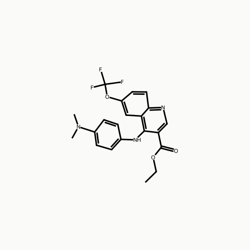 CCOC(=O)c1cnc2ccc(OC(F)(F)F)cc2c1Nc1ccc(N(C)C)cc1